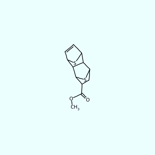 COC(=O)C1CC2SC1C1C3C=CC(S3)C21